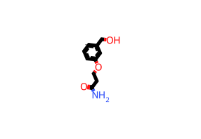 NC(=O)CCOc1cc[c]c(CO)c1